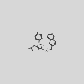 CC(C)Cc1cc(NS(=O)(=O)Cc2ccc3ccccc3c2)nn1-c1ccc(F)cc1